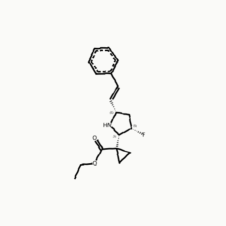 CCOC(=O)C1([C@@H]2N[C@H](C=Cc3ccccc3)C[C@@H]2F)CC1